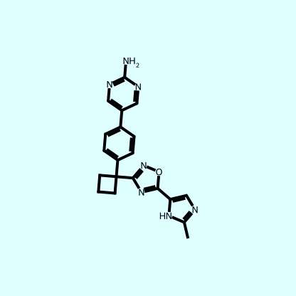 Cc1ncc(-c2nc(C3(c4ccc(-c5cnc(N)nc5)cc4)CCC3)no2)[nH]1